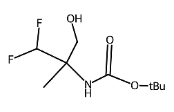 CC(C)(C)OC(=O)NC(C)(CO)C(F)F